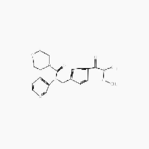 CON(C)C(=O)c1ccc(CN(C(=O)N2CCOCC2)c2cccnc2)cc1